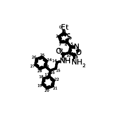 CCc1ccc(-c2noc(N)c2C(=O)NCCC(c2ccccc2)c2ccccc2)s1